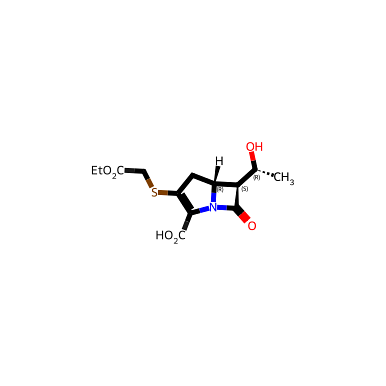 CCOC(=O)CSC1=C(C(=O)O)N2C(=O)[C@H]([C@@H](C)O)[C@H]2C1